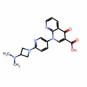 CN(C)C1CN(c2ccc(-n3cc(C(=O)O)c(=O)c4cccnc43)cn2)C1